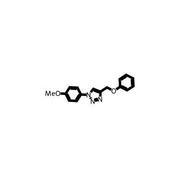 COc1ccc(-n2cc(COc3ccccc3)nn2)cc1